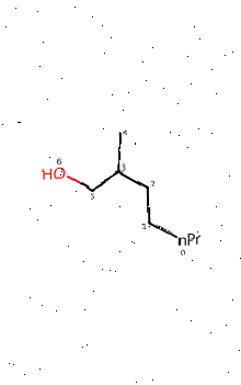 CCC[CH]CC(C)CO